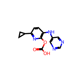 O=C(O)Oc1nc(C2CC2)ccc1Nc1cncnc1